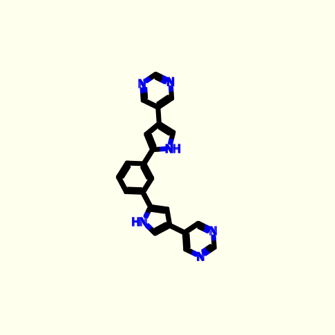 c1cc(-c2cc(-c3cncnc3)c[nH]2)cc(-c2cc(-c3cncnc3)c[nH]2)c1